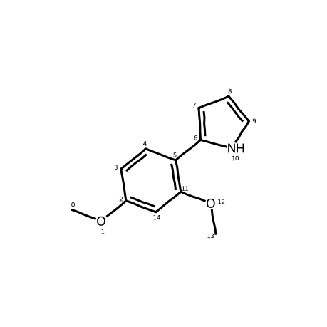 COc1ccc(-c2ccc[nH]2)c(OC)c1